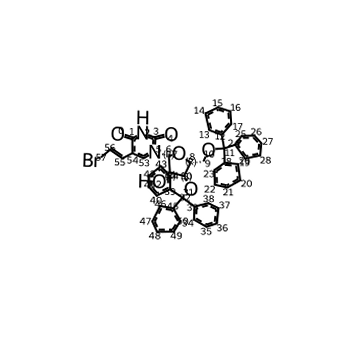 O=c1[nH]c(=O)n([C@@H]2O[C@H](COC(c3ccccc3)(c3ccccc3)c3ccccc3)[C@@H](OC(c3ccccc3)(c3ccccc3)c3ccccc3)[C@H]2O)cc1C=CBr